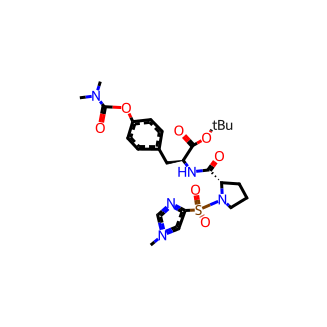 CN(C)C(=O)Oc1ccc(C[C@H](NC(=O)[C@@H]2CCCN2S(=O)(=O)c2cn(C)cn2)C(=O)OC(C)(C)C)cc1